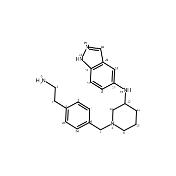 NCCc1ccc(CN2CCCC(Nc3ccc4[nH]ncc4c3)C2)cc1